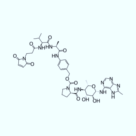 Cc1nc2ncnc(N[C@H]3O[C@@H](C)[C@H](NC(=O)[C@H]4CCCN4C(=O)OCc4ccc(NC(=O)[C@H](C)NC(=O)[C@@H](NC(=O)CCN5C(=O)C=CC5=O)C(C)C)cc4)[C@@H](O)[C@@H]3O)c2[nH]1